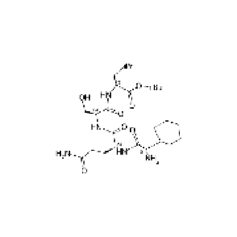 CCCCOC(=O)[C@H](CC(C)C)NC(=O)[C@H](CO)NC(=O)[C@H](CCC(N)=O)NC(=O)[C@@H](N)C1CCCCC1